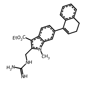 CCOC(=O)c1c(CNC(=N)N)n(C)c2cc(C3=CCCc4ccccc43)ccc12